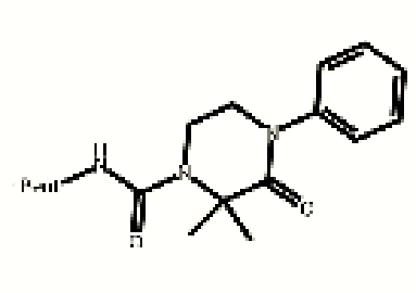 CCCCCNC(=O)N1CCN(c2ccccc2)C(=O)C1(C)C